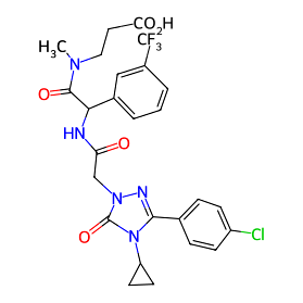 CN(CCC(=O)O)C(=O)C(NC(=O)Cn1nc(-c2ccc(Cl)cc2)n(C2CC2)c1=O)c1cccc(C(F)(F)F)c1